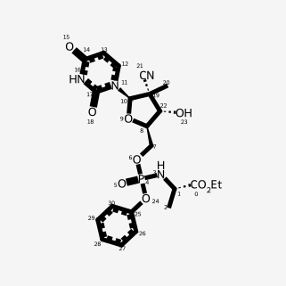 CCOC(=O)[C@H](C)NP(=O)(OC[C@H]1O[C@@H](n2ccc(=O)[nH]c2=O)[C@](C)(C#N)[C@@H]1O)Oc1ccccc1